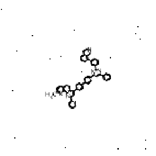 Cc1ccc2ccc3c(-c4ccc(-c5ccc(-c6cc(-c7ccccc7)nc(-c7cccc(-c8cccc9ccncc89)c7)n6)cc5)cc4)cc(-c4ccccc4)nc3c2n1